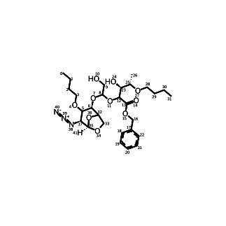 CCCCOC1[C@@H](OC(CO)OC(C(=O)OCc2ccccc2)[C@@H](O)[C@H](C)OCCCC)C2CO[C@H](O2)[C@H]1N=[N+]=[N-]